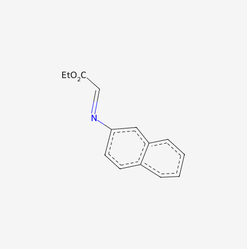 CCOC(=O)C=Nc1ccc2ccccc2c1